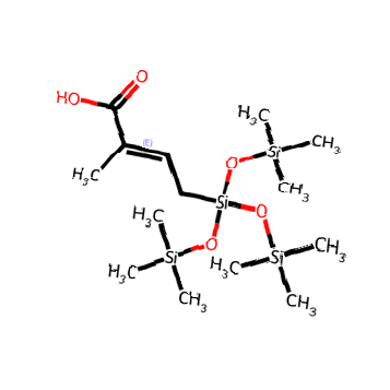 C/C(=C\C[Si](O[Si](C)(C)C)(O[Si](C)(C)C)O[Si](C)(C)C)C(=O)O